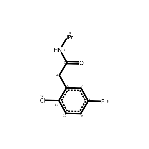 CC(C)NC(=O)Cc1cc(F)ccc1Cl